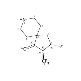 C[C@H]1CC2(CCNCC2)C(=O)[C@@H]1C(F)(F)F